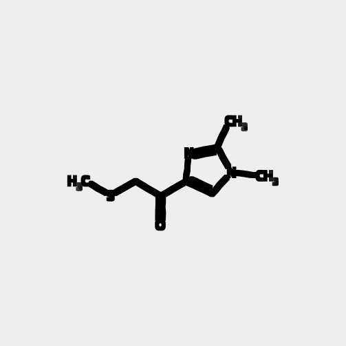 CSCC(=O)c1cn(C)c(C)n1